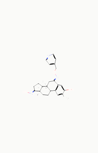 COc1cc2c(cc1O)C(=NOCc1ccncc1)C[C@@H]1[C@@H]2CC[C@]2(C)C(=NO)CC[C@@H]12